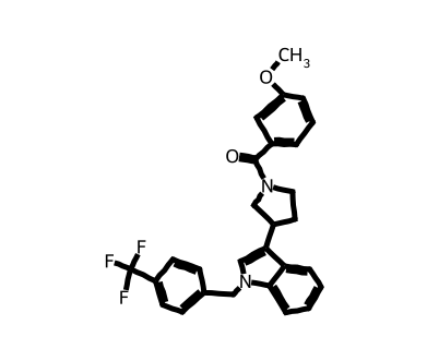 COc1cccc(C(=O)N2CCC(c3cn(Cc4ccc(C(F)(F)F)cc4)c4ccccc34)C2)c1